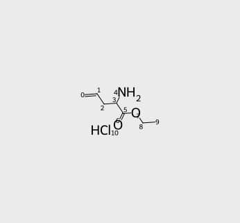 C=CCC(N)C(=O)OCC.Cl